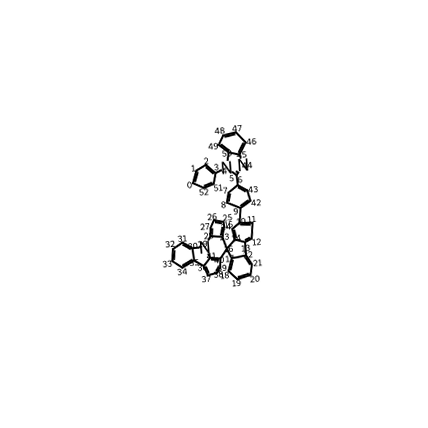 c1ccc(-n2c(-c3ccc(-c4ccc5c(c4)C4(c6ccccc6-5)c5ccccc5-n5c6ccccc6c6cccc4c65)cc3)nc3ccccc32)cc1